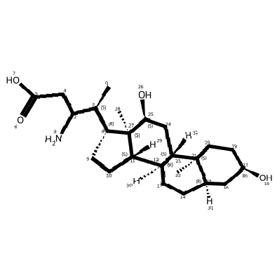 C[C@H](C(N)CC(=O)O)[C@H]1CC[C@H]2[C@@H]3CC[C@@H]4C[C@H](O)CC[C@]4(C)[C@H]3C[C@H](O)[C@]12C